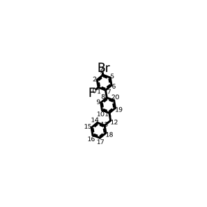 Fc1cc(Br)ccc1-c1ccc(Cc2ccccc2)cc1